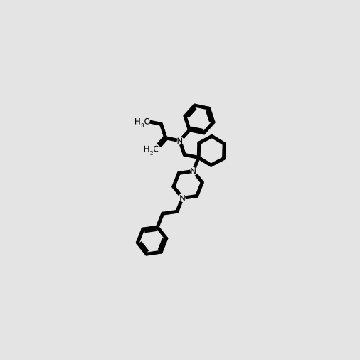 C=C(CC)N(CC1(N2CCN(CCc3ccccc3)CC2)CCCCC1)c1ccccc1